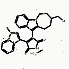 CC(=O)O.Cn1cc(C2=C(c3c4n(c5ccccc35)CCC(CN)CC4)C(=O)NC2=O)c2ccccc21